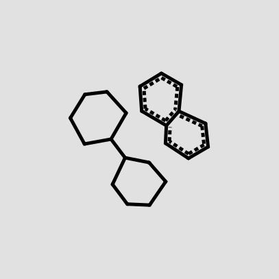 C1CCC(C2CCCCC2)CC1.c1ccc2ccccc2c1